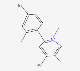 CCc1ccc(-c2cc(C(C)C)c(C)c[n+]2C)c(C)c1